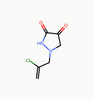 C=C(Cl)CN1CC(=O)C(=O)N1